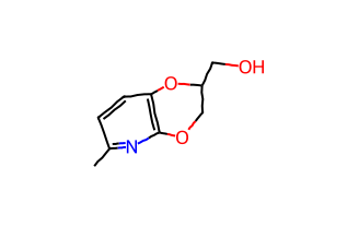 Cc1ccc2c(n1)OCC(CO)O2